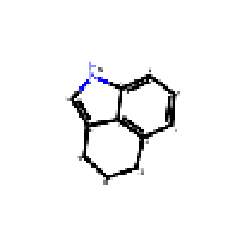 c1cc2c3c(c[nH]c3c1)CCC2